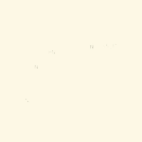 CCOC(=O)N1CCC(Nc2nc3cnccc3s2)CC1